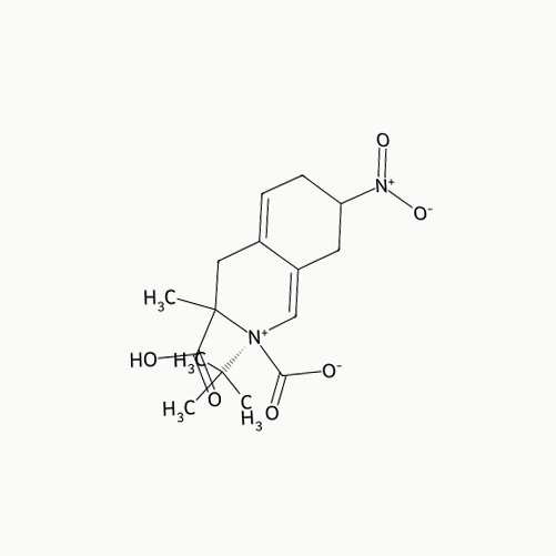 CC(C)(C)[N@@+]1(C(=O)[O-])C=C2CC([N+](=O)[O-])CC=C2CC1(C)C(=O)O